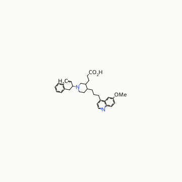 C=CC(Cc1ccccc1)N1CCC(CCCc2ccnc3ccc(OC)cc23)C(CCC(=O)O)C1